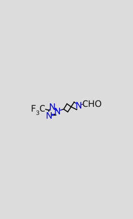 O=CN1CC2(CC(n3cnc(C(F)(F)F)n3)C2)C1